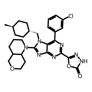 C[C@H]1CC[C@H](Cn2c(N3CCCC4COCCC43)nc3nc(-c4n[nH]c(=O)o4)nc(-c4cccc(Cl)c4)c32)CC1